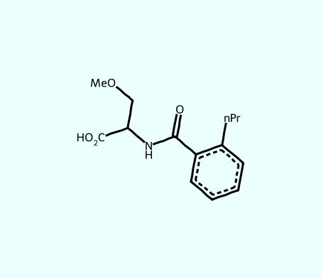 CCCc1ccccc1C(=O)NC(COC)C(=O)O